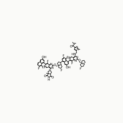 CCc1c(F)ccc2cc(O)cc(-c3ncc4c(N5CC6C(=O)NC(=O)C6(C)C5)nc(OC[C@@]56CCC(c7cc(F)c(CC)c8c(-c9ncc%10c(NCc%11cc(C(=O)N(C)C)nn%11C)nc(OC[C@@]%11%12CCCN%11C[C@H](F)C%12)nc%10c9F)cc(O)cc78)N5C[C@H](F)C6)nc4c3F)c12